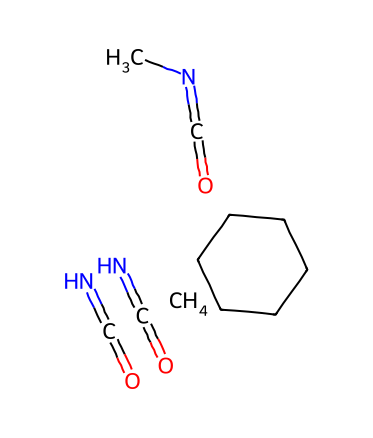 C.C1CCCCC1.CN=C=O.N=C=O.N=C=O